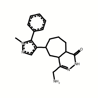 Cn1ncc(C2CCCC3C(=O)NN=C(CN)C3C2)c1-c1ccccc1